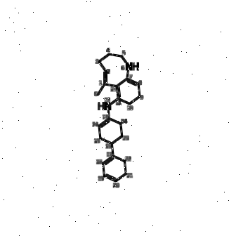 C/C1=C\CCCNC2=CCCC(NC3=CCC(C4=CC=CCC4)CC3)=C21